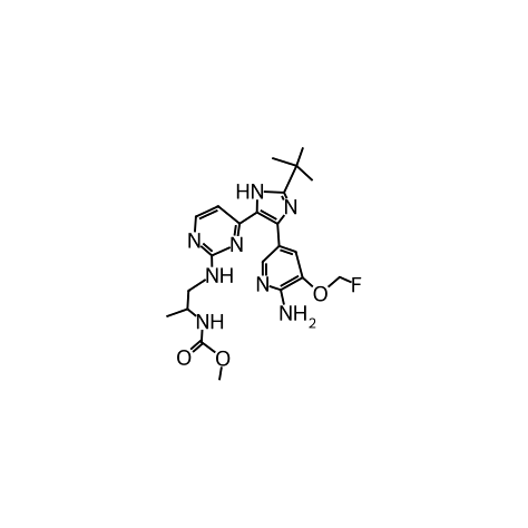 COC(=O)NC(C)CNc1nccc(-c2[nH]c(C(C)(C)C)nc2-c2cnc(N)c(OCF)c2)n1